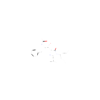 CCCC(CCC)N1C(=O)[C@H]([C@H](O)[C@H](Cc2ccccc2)NC(=O)O)NC1C(C)C